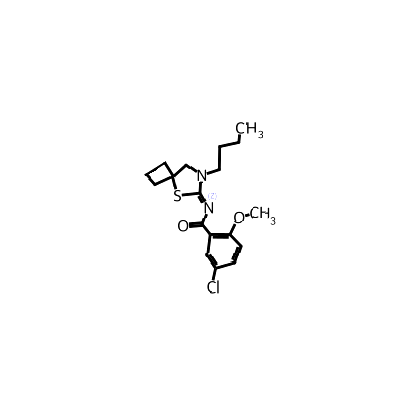 CCCCN1CC2(CCC2)S/C1=N\C(=O)c1cc(Cl)ccc1OC